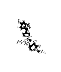 CC(CNc1cnn(C)c(=O)c1Cl)N1CCC(c2noc3cc(F)ccc23)CC1